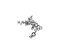 CCO/N=C(\C(=O)NC1C(=O)N2C(C(=O)OCc3ccc(OC)cc3)=C(CCl)CS[C@@H]12)c1nsc(N)n1